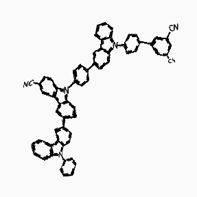 N#Cc1cc(C#N)cc(-c2ccc(-n3c4ccccc4c4cc(-c5ccc(-n6c7ccc(C#N)cc7c7cc(-c8ccc9c(c8)c8ccccc8n9-c8ccccc8)ccc76)cc5)ccc43)cc2)c1